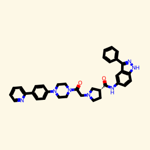 O=C(Nc1ccc2[nH]nc(-c3ccccc3)c2c1)[C@@H]1CCN(CC(=O)N2CCN(c3ccc(-c4ccccn4)cc3)CC2)C1